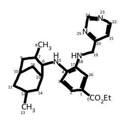 CCOC(=O)c1ccc(NC2C(C)CC3CC(C)CC2C3)c(NCc2ccncn2)c1